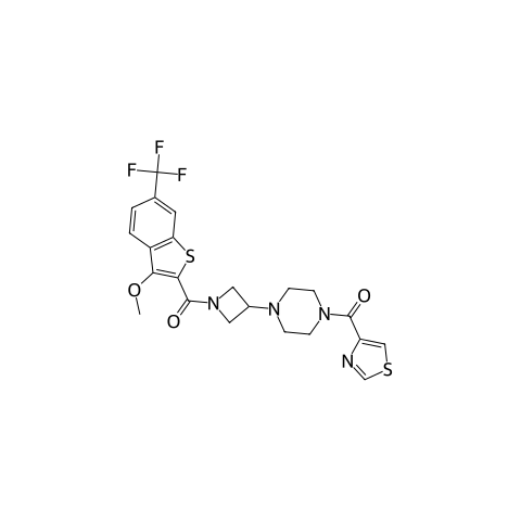 COc1c(C(=O)N2CC(N3CCN(C(=O)c4cscn4)CC3)C2)sc2cc(C(F)(F)F)ccc12